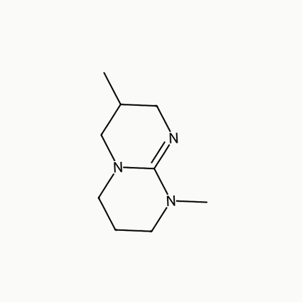 CC1CN=C2N(C)CCCN2C1